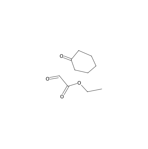 CCOC(=O)C=O.O=C1CCCCC1